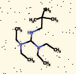 CCN(CC)C(NCC(C)(C)[SiH3])N(CC)CC